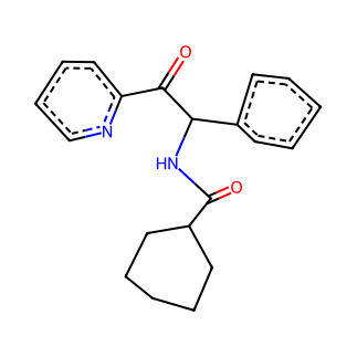 O=C(NC(C(=O)c1ccccn1)c1ccccc1)C1CCCCC1